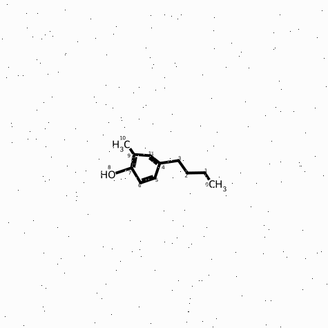 CCCCc1ccc(O)c(C)c1